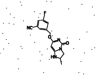 CC1Cn2c(cc(OCc3cc(F)cc(C#N)c3)nc2=O)N1